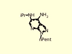 CCCCCn1ncc2c(N)c(NC(C)C)cnc21